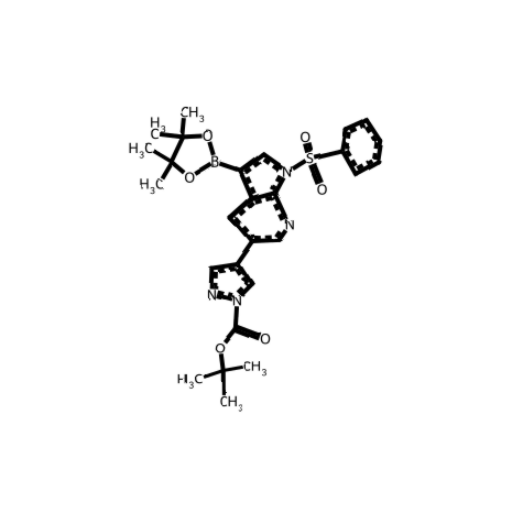 CC(C)(C)OC(=O)n1cc(-c2cnc3c(c2)c(B2OC(C)(C)C(C)(C)O2)cn3S(=O)(=O)c2ccccc2)cn1